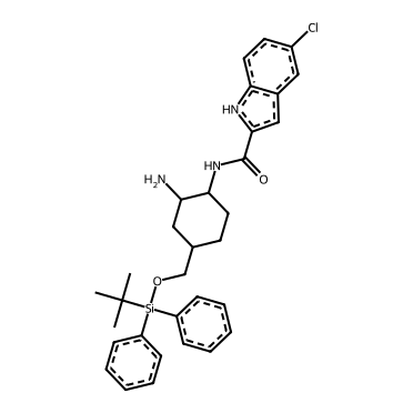 CC(C)(C)[Si](OCC1CCC(NC(=O)c2cc3cc(Cl)ccc3[nH]2)C(N)C1)(c1ccccc1)c1ccccc1